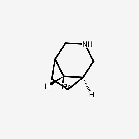 CC(C)[C@@H]1C2CC[C@@H]1CNC2